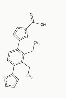 CCc1c(-c2cccs2)ccc(-c2ccc(C(=O)O)s2)c1CC